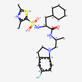 Cc1nc(C)c(S(=O)(=O)NC(CC2CCCCC2)C(=O)NC(C)CN2CCc3cc(F)ccc32)s1